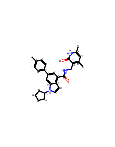 Cc1ccc(-c2cc(C(=O)NCc3c(C)cc(C)[nH]c3=O)c3ccn(C4CCCC4)c3c2)cc1